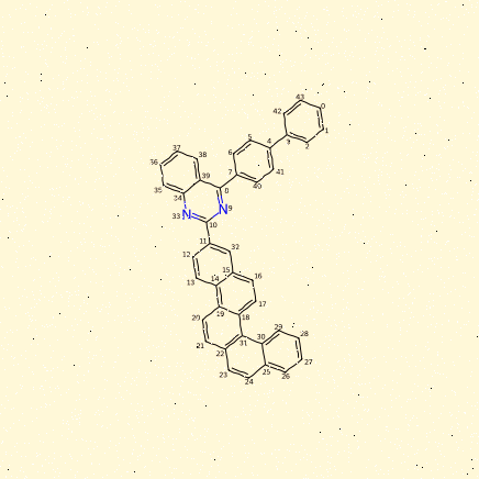 c1ccc(-c2ccc(-c3nc(-c4ccc5c(ccc6c5ccc5ccc7ccccc7c56)c4)nc4ccccc34)cc2)cc1